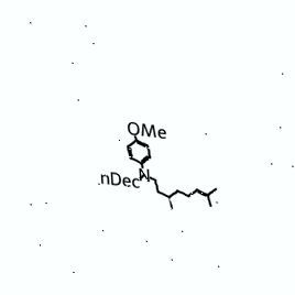 CCCCCCCCCCN(CC[C@H](C)CCC=C(C)C)c1ccc(OC)cc1